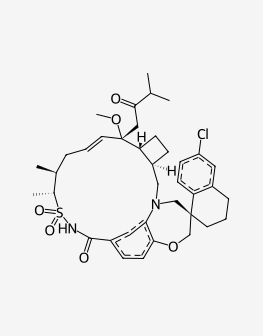 CO[C@@]1(CC(=O)C(C)C)/C=C/C[C@H](C)[C@@H](C)S(=O)(=O)NC(=O)c2ccc3c(c2)N(C[C@@H]2CC[C@H]21)C[C@@]1(CCCc2cc(Cl)ccc21)CO3